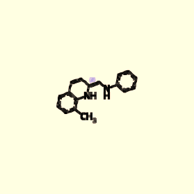 Cc1cccc2c1N/C(=C\Nc1ccccc1)C=C2